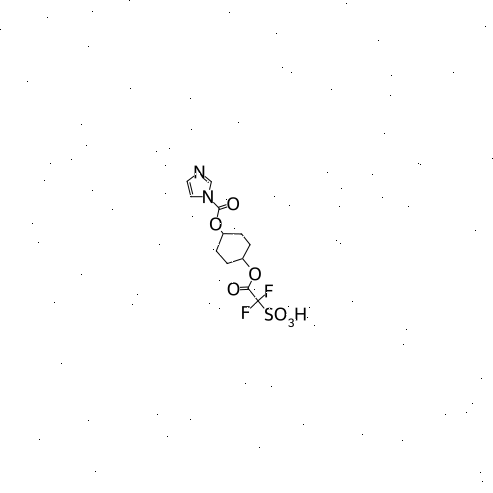 O=C(OC1CCC(OC(=O)C(F)(F)S(=O)(=O)O)CC1)n1ccnc1